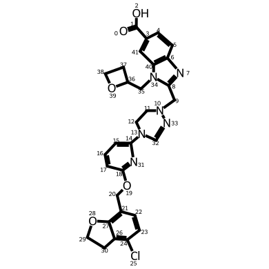 O=C(O)c1ccc2nc(CN3CCN(c4cccc(OCc5ccc(Cl)c6c5OCC6)n4)C=N3)n(CC3CCO3)c2c1